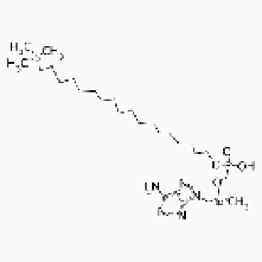 C[C@H](Cn1cnc2c(N)ncnc21)OCP(=O)(O)OCCCCCCCCCCCCCCCCCCS(C)(C)C